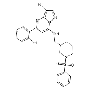 O=S(=O)(c1ccccc1)N1CCCC(CNc2cc(-c3ccccc3Cl)nc3c(Br)cnn23)C1